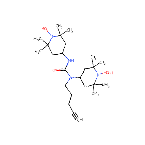 C#CCCCN(C(=O)NC1CC(C)(C)N(O)C(C)(C)C1)C1CC(C)(C)N(O)C(C)(C)C1